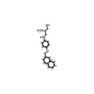 N[C@@H](CS)CNc1ccc(OCc2ccc3ccccc3c2)cc1